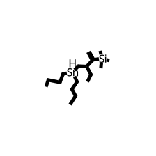 C=C(C(CC)[CH2][SnH]([CH2]CCC)[CH2]CCC)[Si](C)(C)C